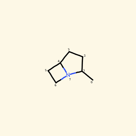 CC1CCC2CCN12